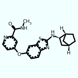 CNC(=O)c1cc(Oc2ccc3nc(N[C@@H]4C[C@H]5CC[C@@H]4C5)sc3c2)ccn1